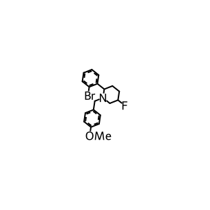 COc1ccc(CN2CC(F)CCC2c2ccccc2Br)cc1